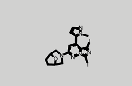 Cn1nccc1-c1cc(N2CC3CCC(C2)O3)nn2c(I)nc(I)c12